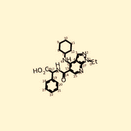 CCn1ncc2c(NC3CCCCC3)c(C(=O)NC(C(=O)O)c3ccccc3)cnc21